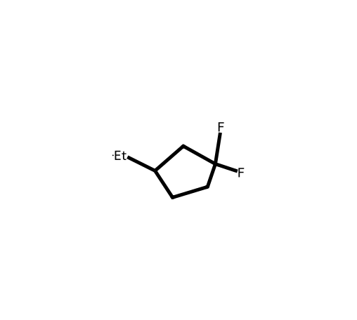 C[CH]C1CCC(F)(F)C1